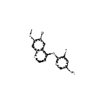 COc1cc2nccc(Oc3ncc(N)cc3Cl)c2cc1Br